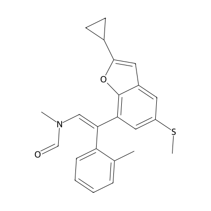 CSc1cc(/C(=C/N(C)C=O)c2ccccc2C)c2oc(C3CC3)cc2c1